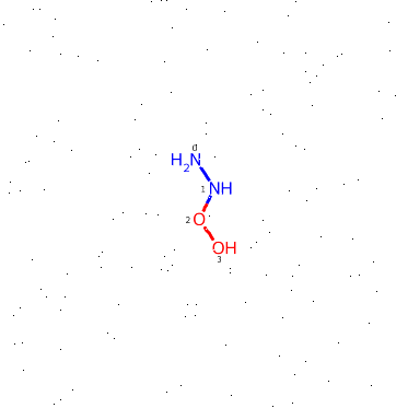 NNOO